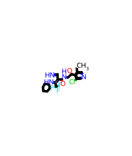 CCc1cncc(Cl)c1C(=O)CNC(=O)/C(C=N)=C(/NC1CCCCC1)C(F)(F)F